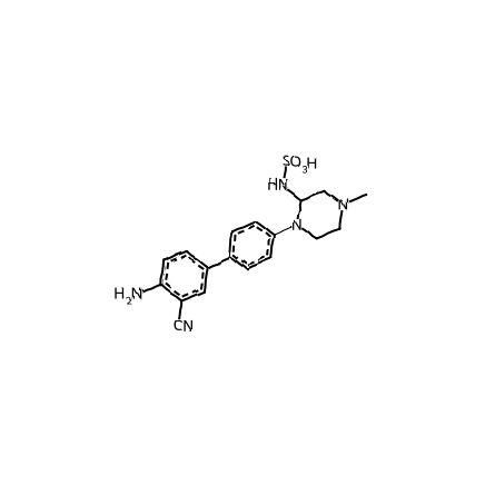 CN1CCN(c2ccc(-c3ccc(N)c(C#N)c3)cc2)C(NS(=O)(=O)O)C1